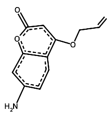 C=CCOc1cc(=O)oc2cc(N)ccc12